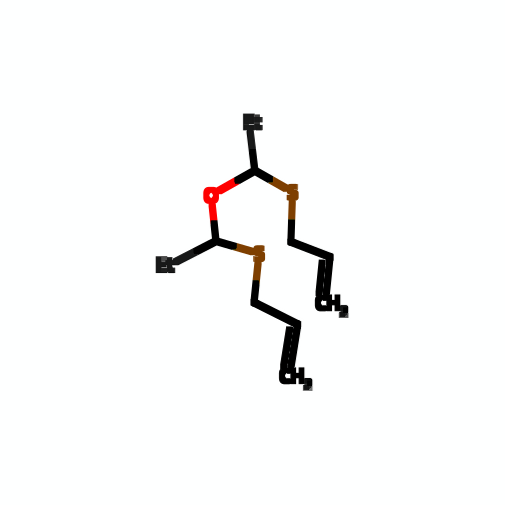 C=CCSC(CC)OC(CC)SCC=C